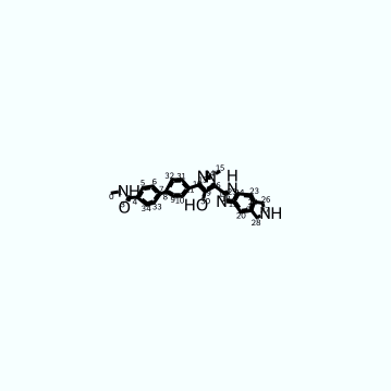 CNC(=O)c1ccc(-c2ccc(-c3nn(C)c(-c4nc5cc6c(cc5[nH]4)CNC6)c3O)cc2)cc1